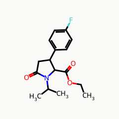 CCOC(=O)C1C(c2ccc(F)cc2)CC(=O)N1C(C)C